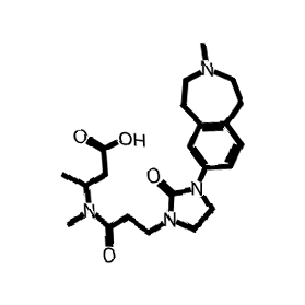 CC(CC(=O)O)N(C)C(=O)CCN1CCN(c2ccc3c(c2)CCN(C)CC3)C1=O